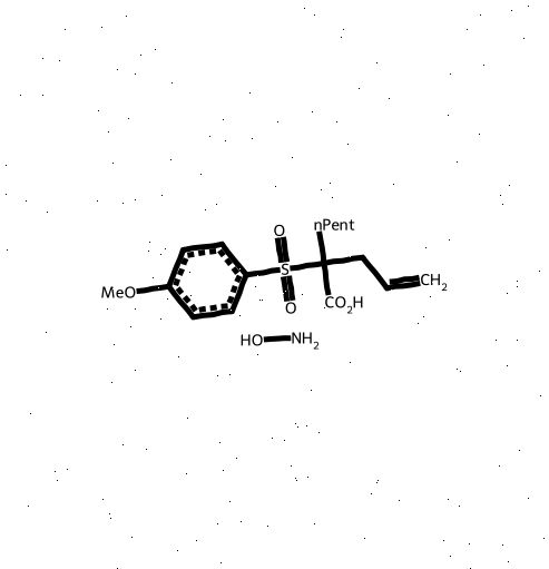 C=CCC(CCCCC)(C(=O)O)S(=O)(=O)c1ccc(OC)cc1.NO